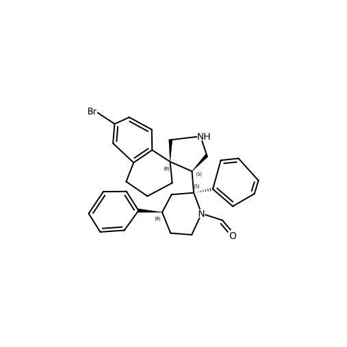 O=CN1CC[C@@H](c2ccccc2)C[C@@]1(c1ccccc1)[C@@H]1CNC[C@]12CCCc1cc(Br)ccc12